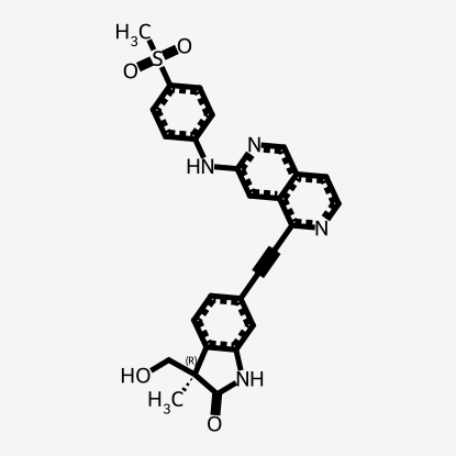 C[C@@]1(CO)C(=O)Nc2cc(C#Cc3nccc4cnc(Nc5ccc(S(C)(=O)=O)cc5)cc34)ccc21